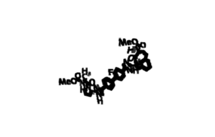 COC(=O)NC(C)C(=O)N1CCC[C@H]1c1nc(-c2ccc(-c3ccc(-c4cnc([C@@H]5Cc6cccc7c6N5C(=O)[C@@H](NC(=O)OC)CC7)[nH]4)cc3F)cc2)c[nH]1